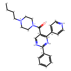 CCCCN1CCN(C(=O)c2cnc(-c3ccccc3)nc2-c2ccncc2)CC1